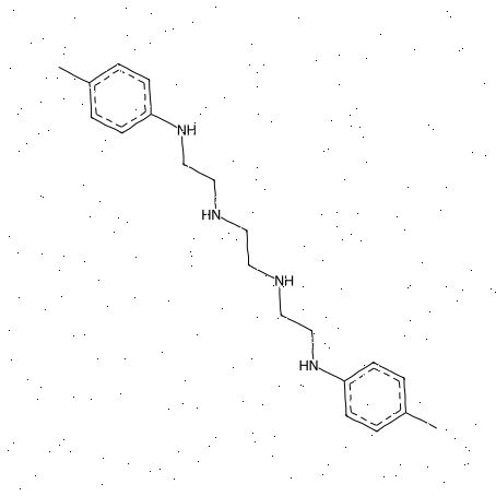 Cc1ccc(NCCNCCNCCNc2ccc(C)cc2)cc1